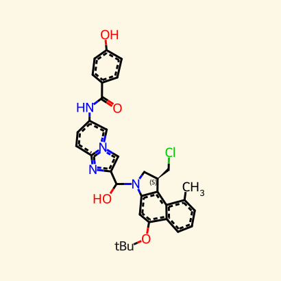 Cc1cccc2c(OC(C)(C)C)cc3c(c12)[C@H](CCl)CN3C(O)c1cn2cc(NC(=O)c3ccc(O)cc3)ccc2n1